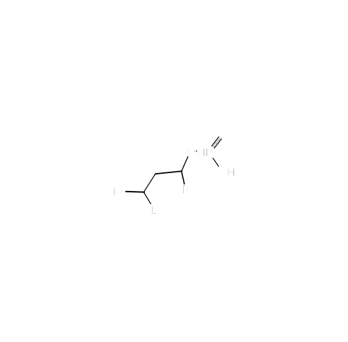 CCC(CC)CC(Br)O[PH](=O)O